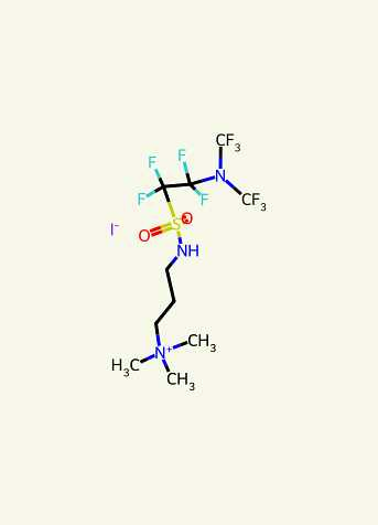 C[N+](C)(C)CCCNS(=O)(=O)C(F)(F)C(F)(F)N(C(F)(F)F)C(F)(F)F.[I-]